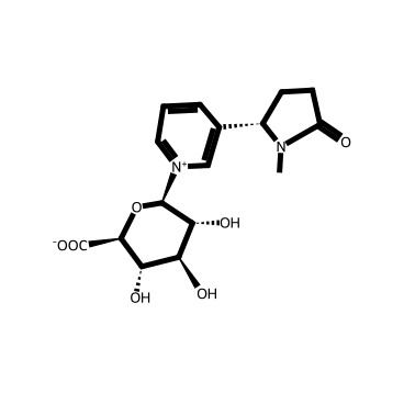 CN1C(=O)CC[C@H]1c1ccc[n+]([C@@H]2O[C@H](C(=O)[O-])[C@@H](O)[C@H](O)[C@H]2O)c1